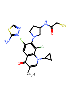 Nc1nncs1.O=C(CS)NC1CCN(c2c(F)cc3c(=O)c(C(=O)O)cn(C4CC4)c3c2Cl)C1